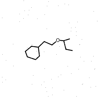 CCC(C)OCCC1CCCCC1